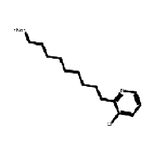 CCCCCCCCCCCCCCCCCCc1ncccc1Cl